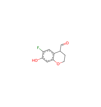 O=CC1CCOc2cc(O)c(F)cc21